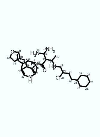 CCC1CCCC2=C(NC(=O)C(C(N)N)C(C)NCC(Cl)CCC3CCCCC3)C(O[C@H]3CCOC3)C1=CN2